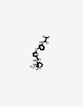 C[C@H]1[C@H](NC(=O)c2ccc(Oc3cccc(NC(=O)C(F)F)c3)s2)C2CCN1CC2